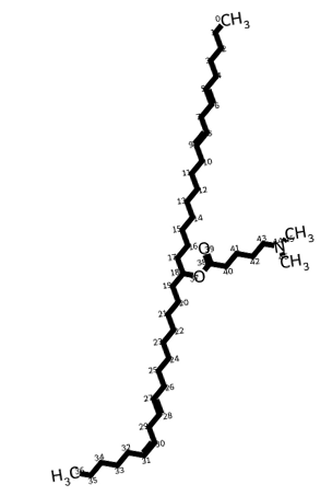 CCCCCC=CCC=CCCCCCCCCC(CCCCCCCCC=CC/C=C\CCCCC)OC(=O)CCCCN(C)C